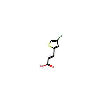 O=C(O)/C=C/c1cc(Cl)cs1